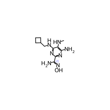 CNc1c(N)nc(/C(N)=N/O)nc1NCC1CCC1